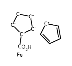 O=C(O)[c-]1[cH-][cH-][cH-][cH-]1.[Fe].c1cc[cH-]c1